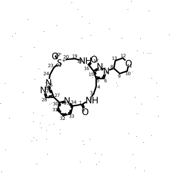 O=C1NCCc2cn(C3CCOCC3)nc2C(=O)NCC[S+]([O-])CCn2cc(cn2)-c2cccc1n2